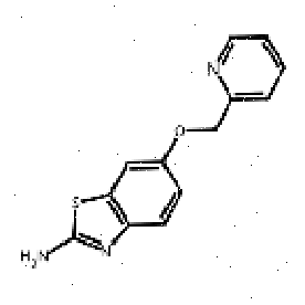 Nc1nc2ccc(OCc3ccccn3)cc2s1